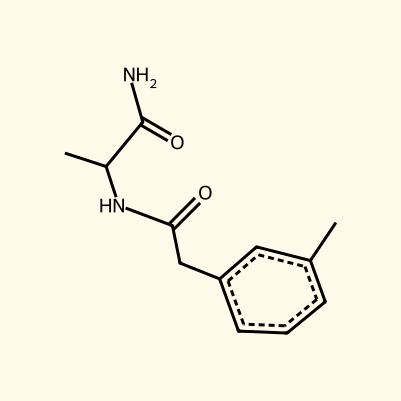 Cc1cccc(CC(=O)NC(C)C(N)=O)c1